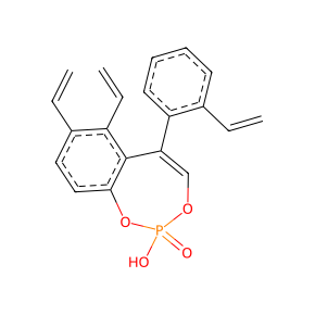 C=Cc1ccccc1C1=COP(=O)(O)Oc2ccc(C=C)c(C=C)c21